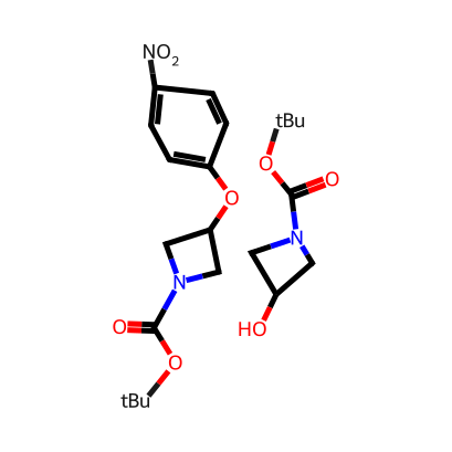 CC(C)(C)OC(=O)N1CC(O)C1.CC(C)(C)OC(=O)N1CC(Oc2ccc([N+](=O)[O-])cc2)C1